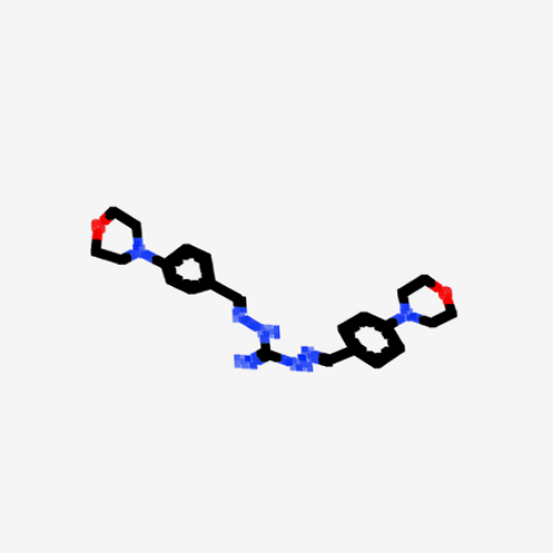 N=C(N/N=C/c1ccc(N2CCOCC2)cc1)N/N=C/c1ccc(N2CCOCC2)cc1